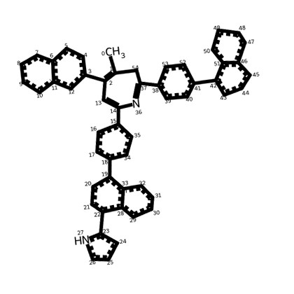 CC1=C(c2ccc3ccccc3c2)C=C(c2ccc(-c3ccc(-c4ccc[nH]4)c4ccccc34)cc2)N=C(c2ccc(-c3cccc4ccccc34)cc2)C1